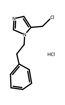 Cl.ClCc1cncn1CCc1ccccc1